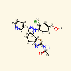 COCc1ccc(-n2nc(-c3cccnc3)c3c2-c2sc(NC(C)=O)nc2CC3)c(Br)c1